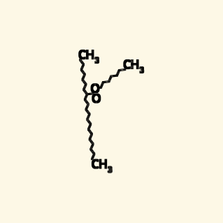 CCCCCCCCCCCCCCC(CCCCCCCC)C(=O)OCCCCCCCC